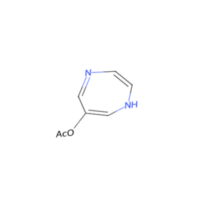 CC(=O)OC1=CNC=CN=C1